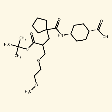 COCCOCC(CC1(C(=O)N[C@H]2CC[C@@H](C(=O)O)CC2)CCCC1)C(=O)OC(C)(C)C